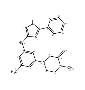 Cc1cc(Nc2n[nH]c(-c3ccccc3)n2)cc(N2CCN(C)C(=O)C2)c1